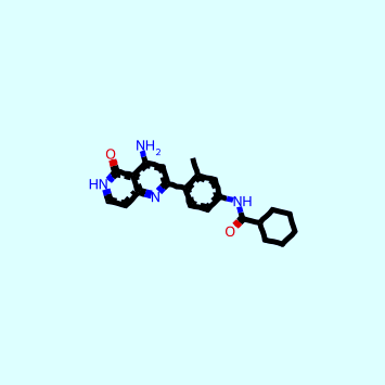 Cc1cc(NC(=O)C2CCCCC2)ccc1-c1cc(N)c2c(=O)[nH]ccc2n1